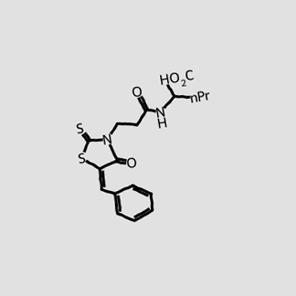 CCCC(NC(=O)CCN1C(=O)/C(=C\c2ccccc2)SC1=S)C(=O)O